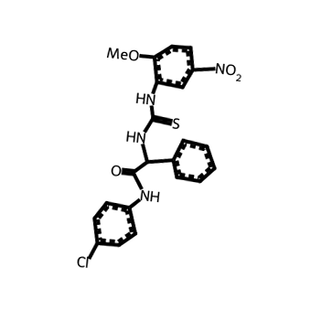 COc1ccc([N+](=O)[O-])cc1NC(=S)NC(C(=O)Nc1ccc(Cl)cc1)c1ccccc1